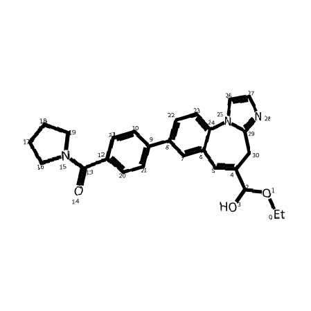 CCOC(O)C1=Cc2cc(-c3ccc(C(=O)N4CCCC4)cc3)ccc2-n2ccnc2C1